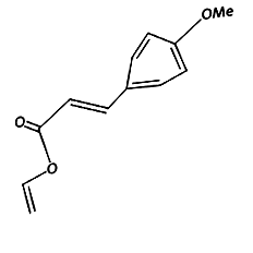 C=COC(=O)C=Cc1ccc(OC)cc1